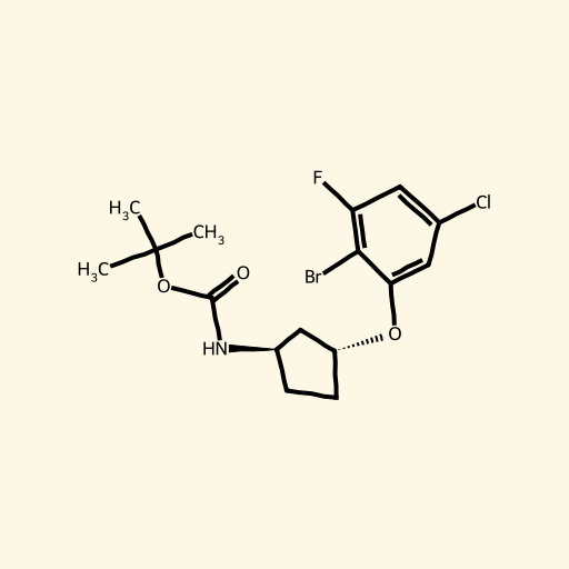 CC(C)(C)OC(=O)N[C@@H]1CC[C@@H](Oc2cc(Cl)cc(F)c2Br)C1